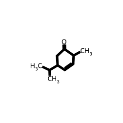 CC1C=CC(C(C)C)CC1=O